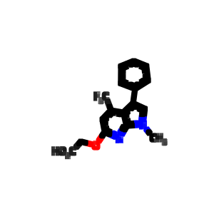 Cn1cc(-c2ccccc2)c2c(C(F)(F)F)cc(OCC(=O)O)nc21